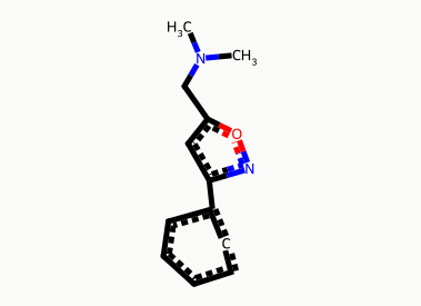 CN(C)Cc1cc(-c2ccccc2)no1